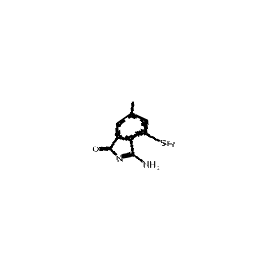 Cc1cc(S)c2c(c1)C(=O)N=C2N